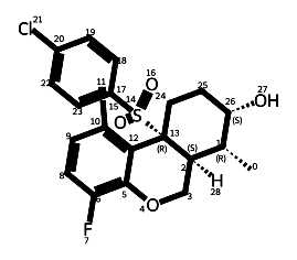 C[C@@H]1[C@H]2COc3c(F)ccc(F)c3[C@@]2(S(=O)(=O)c2ccc(Cl)cc2)CC[C@@H]1O